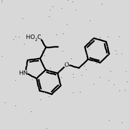 CC(C(=O)O)c1c[nH]c2cccc(OCc3ccccc3)c12